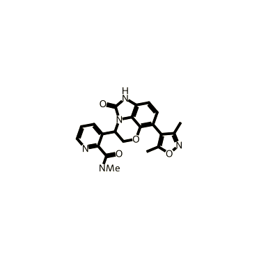 CNC(=O)c1ncccc1C1COc2c(-c3c(C)noc3C)ccc3[nH]c(=O)n1c23